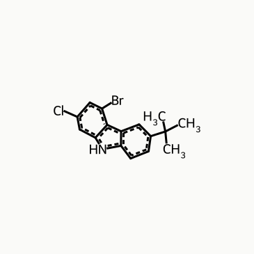 CC(C)(C)c1ccc2[nH]c3cc(Cl)cc(Br)c3c2c1